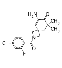 CC1(C)CC2(C=C(N)C1=O)CN(C(=O)c1ccc(Cl)cc1F)C2